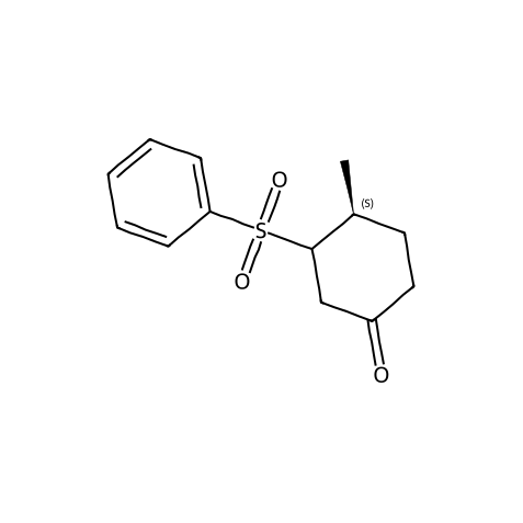 C[C@H]1CCC(=O)CC1S(=O)(=O)c1ccccc1